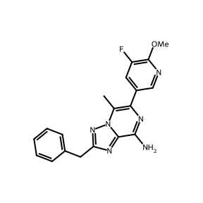 COc1ncc(-c2nc(N)c3nc(Cc4ccccc4)nn3c2C)cc1F